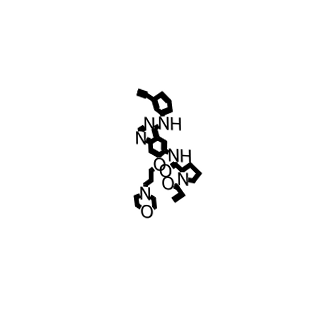 C#Cc1cccc(Nc2ncnc3cc(OCCCN4CCOCC4)c(NC(=O)C4CCCN4C(=O)C=C)cc23)c1